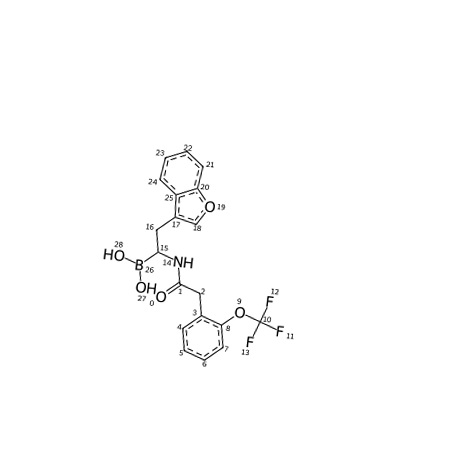 O=C(Cc1ccccc1OC(F)(F)F)NC(Cc1coc2ccccc12)B(O)O